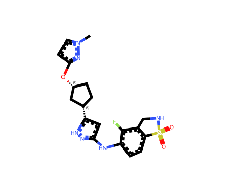 Cn1ccc(O[C@@H]2CC[C@H](c3cc(Nc4ccc5c(c4F)CNS5(=O)=O)n[nH]3)C2)n1